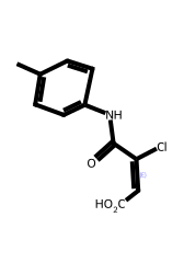 Cc1ccc(NC(=O)/C(Cl)=C\C(=O)O)cc1